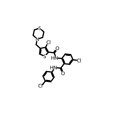 O=C(Nc1ccc(Cl)cc1)c1cc(Cl)ccc1NC(=O)c1scc(CN2CCSCC2)c1Cl